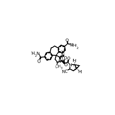 C[C@@H](CC1(c2nc(=O)o[nH]2)c2ccc(C(N)=O)cc2CCc2cc(C(N)=O)ccc21)NCC(=O)N1C(C#N)C[C@@H]2C[C@@H]21